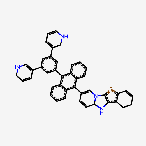 C1=CNCC(c2cc(C3=CNCC=C3)cc(-c3c4ccccc4c(C4=CN5c6sc7c(c6NC5C=C4)CCC=C7)c4ccccc34)c2)=C1